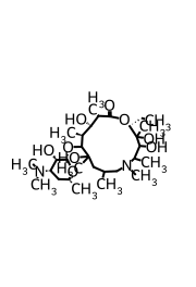 CC[C@H]1OC(=O)[C@H](C)[C@@H](O)[C@H](C)C(O[C@@H]2O[C@H](C)C[C@H](N(C)C)[C@H]2O)C(C)(O)CC(C)CN(C)C(C)C(O)C1(C)O